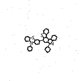 c1ccc(-c2nc3ccccc3c3c2cc(-c2ccc4c(c2)Sc2ccccc2N4c2ccccc2)c2sc4ccccc4c23)cc1